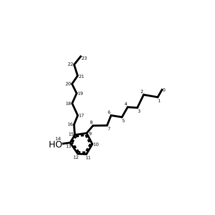 CCCCCCCCCc1cccc(O)c1CCCCCCCC